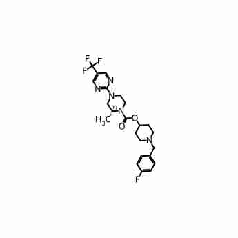 C[C@@H]1CN(c2ncc(C(F)(F)F)cn2)CCN1C(=O)OC1CCN(Cc2ccc(F)cc2)CC1